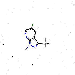 Cn1nc(C(C)(C)C)c2cc(F)cnc21